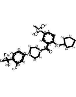 CS(=O)(=O)c1ccc(OC2CCCCC2)c(C(=O)N2CCN(c3ccc(C(F)(F)F)c(F)c3)CC2)c1